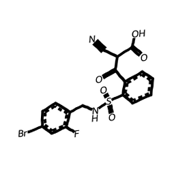 N#CC(C(=O)O)C(=O)c1ccccc1S(=O)(=O)NCc1ccc(Br)cc1F